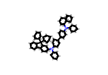 c1ccc(N(c2ccc(-c3ccc(N(c4ccccc4)c4cccc5ccccc45)cc3)cc2)c2ccc3c(c2)C(c2ccccc2)(c2ccccc2)c2ccccc2-3)cc1